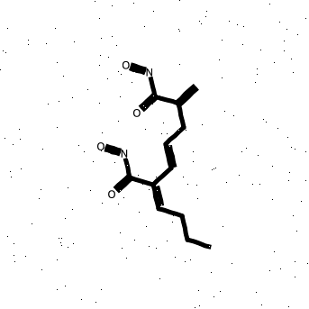 C=C(CC=C/C(=C\CCC)C(=O)N=O)C(=O)N=O